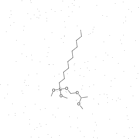 CCCCCCCCCCC[Si](OC)(OC)OCOC(C)OC